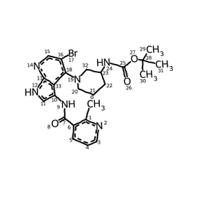 Cc1ncccc1C(=O)Nc1c[nH]c2ncc(Br)c(N3CCCC(NC(=O)OC(C)(C)C)C3)c12